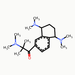 CN(C)C1CCC(N(C)C)c2cc(C(=O)C(C)(C)N(C)C)ccc21